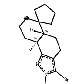 Cn1nc2c(c1Br)CC[C@H]1C3(CCCC3)C3(CC[C@]21C)OCCO3